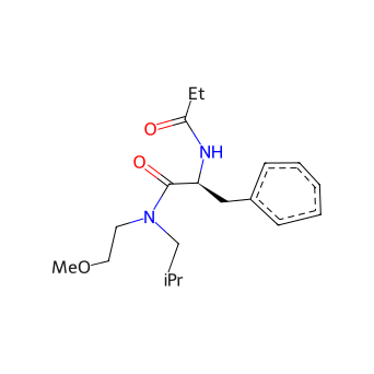 CCC(=O)N[C@@H](Cc1ccccc1)C(=O)N(CCOC)CC(C)C